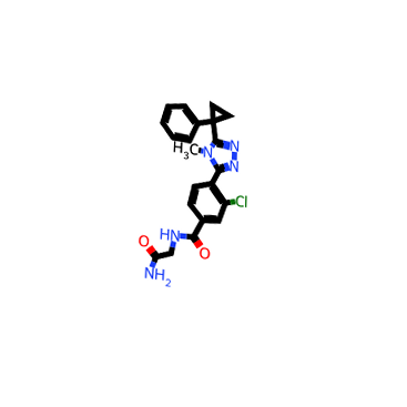 Cn1c(-c2ccc(C(=O)NCC(N)=O)cc2Cl)nnc1C1(c2ccccc2)CC1